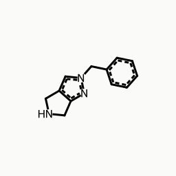 c1ccc(Cn2cc3c(n2)CNC3)cc1